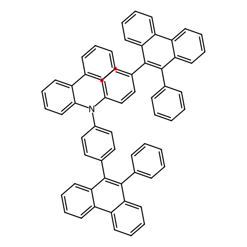 c1ccc(-c2ccccc2N(c2ccc(-c3c(-c4ccccc4)c4ccccc4c4ccccc34)cc2)c2ccc(-c3c(-c4ccccc4)c4ccccc4c4ccccc34)cc2)cc1